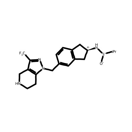 CC(C)[S+]([O-])N[C@@H]1Cc2ccc(Cn3nc(C(F)(F)F)c4c3CCNC4)cc2C1